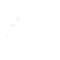 Cc1csc(Cc2c(C(F)(F)F)[nH][nH]c2=O)c1